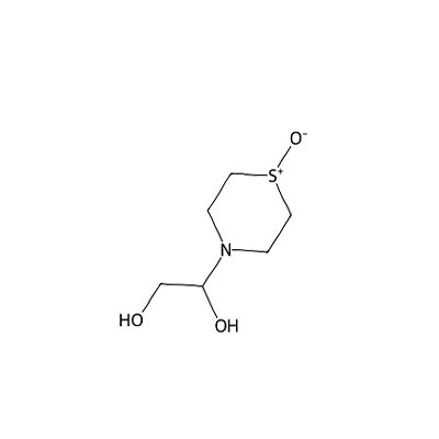 [O-][S+]1CCN(C(O)CO)CC1